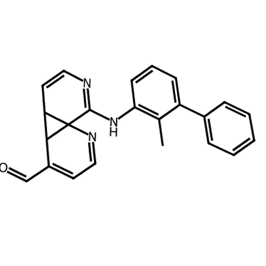 Cc1c(NC2=NC=CC3C4C(C=O)=CC=NC234)cccc1-c1ccccc1